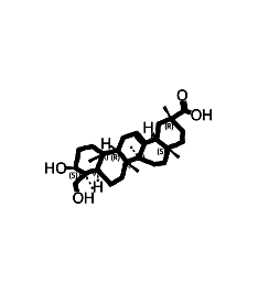 C[C@@]1(C(=O)O)CC[C@]2(C)CC[C@]3(C)C(=CC[C@@H]4[C@@]5(C)CC[C@H](O)[C@](C)(CO)[C@@H]5CC[C@]43C)[C@@H]2C1